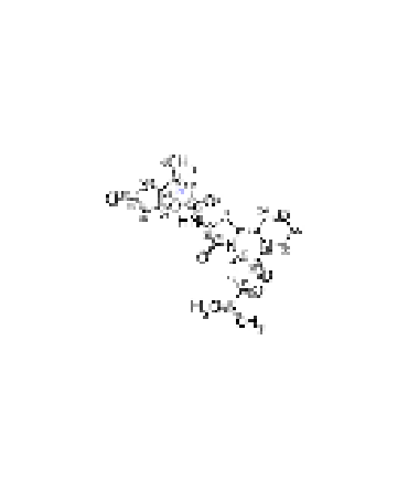 C/C(=C/S(=O)(=O)N[C@H]1CCN([C@@H](CC(=O)N(C)C)C(=O)N2CCOCC2)C1=O)c1ccc(Cl)s1